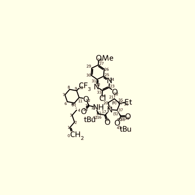 C=CCCC[C@@H]1CCCC(C(F)(F)F)C1OC(=O)N[C@H](C(=O)N1C[C@H](Oc2nc3cc(OC)ccc3nc2Cl)[C@@H](CC)[C@H]1C(=O)OC(C)(C)C)C(C)(C)C